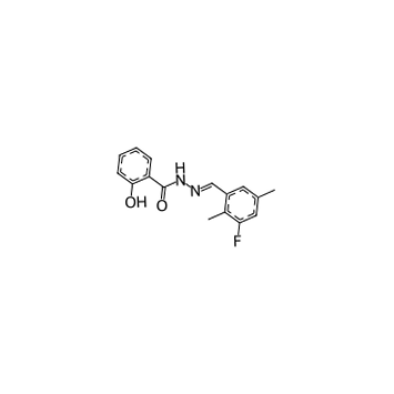 Cc1cc(F)c(C)c(/C=N/NC(=O)c2ccccc2O)c1